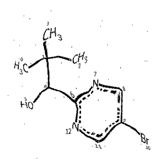 CC(C)(C)C(O)c1ncc(Br)cn1